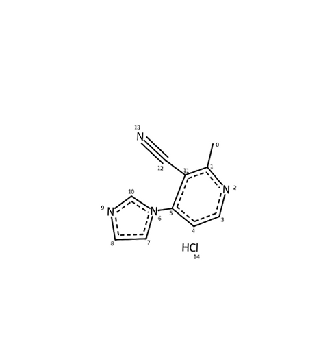 Cc1nccc(-n2ccnc2)c1C#N.Cl